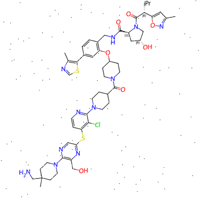 Cc1cc([C@H](C(=O)N2C[C@H](O)C[C@H]2C(=O)NCc2ccc(-c3scnc3C)cc2OC2CCN(C(=O)C3CCN(c4nccc(Sc5cnc(N6CCC(C)(CN)CC6)c(CO)n5)c4Cl)CC3)CC2)C(C)C)on1